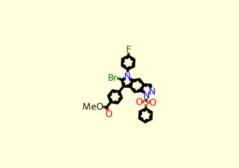 COC(=O)c1ccc(-c2c(Br)n(-c3ccc(F)cc3)c3cc4cnn(S(=O)(=O)c5ccccc5)c4cc23)cc1